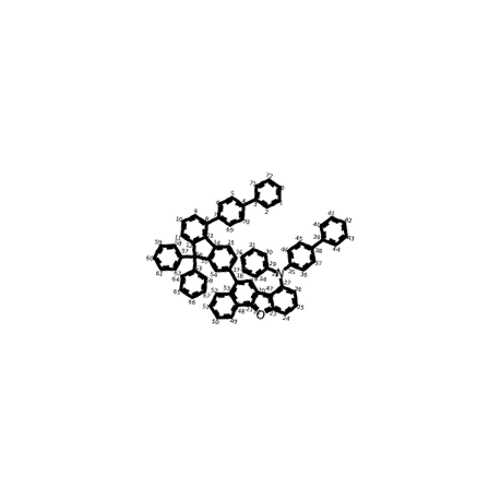 c1ccc(-c2ccc(-c3cccc4c3-c3ccc(-c5cc6c(oc7cccc(N(c8ccccc8)c8ccc(-c9ccccc9)cc8)c76)c6ccccc56)cc3C4(c3ccccc3)c3ccccc3)cc2)cc1